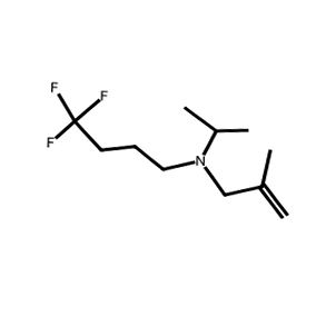 C=C(C)CN(CCCC(F)(F)F)C(C)C